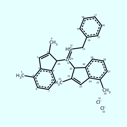 CC1=Cc2c(C)cccc2[CH]1[Zr+2](=[SiH]Cc1ccccc1)[CH]1C(C)=Cc2c(C)cccc21.[Cl-].[Cl-]